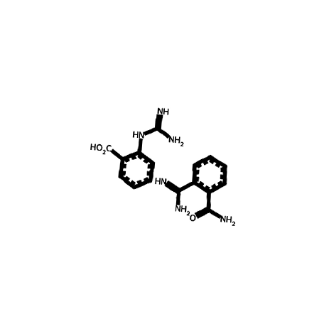 N=C(N)Nc1ccccc1C(=O)O.N=C(N)c1ccccc1C(N)=O